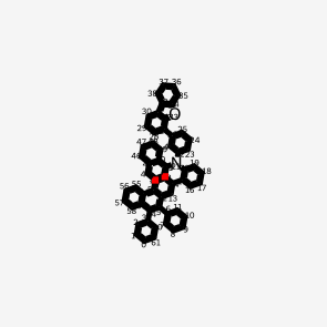 c1ccc(-c2c(-c3ccccc3)c3cc(-c4ccccc4N(c4cccc(-c5cccc6c5oc5ccccc56)c4)c4cccc5ccccc45)ccc3c3ccccc23)cc1